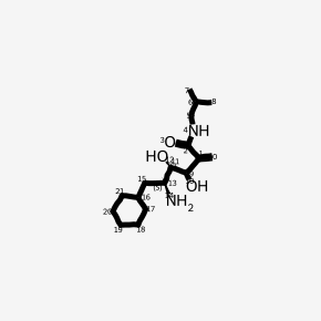 C=C(C(=O)NCC(C)C)C(O)[C@@H](O)[C@@H](N)CC1CCCCC1